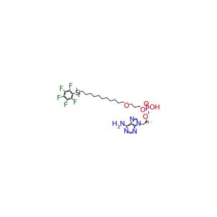 C[C@H](Cn1cnc2c(N)ncnc21)OCP(=O)(O)OCCCOCCCCCCCCCCC[Si](C)(C)c1c(F)c(F)c(F)c(F)c1F